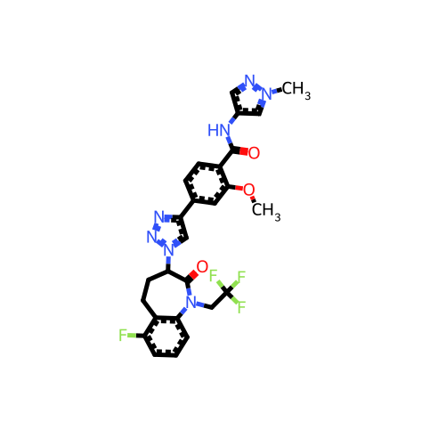 COc1cc(-c2cn(C3CCc4c(F)cccc4N(CC(F)(F)F)C3=O)nn2)ccc1C(=O)Nc1cnn(C)c1